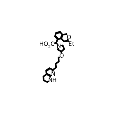 CCC1Cc2c(cccc2C(C(=O)O)N2CCC(OCCCCc3ccc4c(n3)NCCC4)C2)CO1